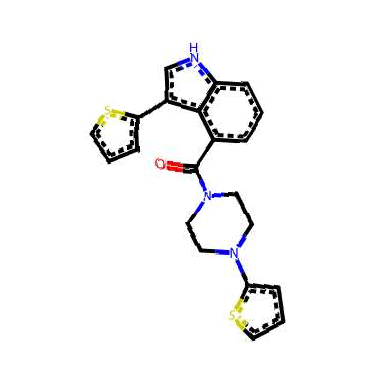 O=C(c1cccc2[nH]cc(-c3cccs3)c12)N1CCN(c2cccs2)CC1